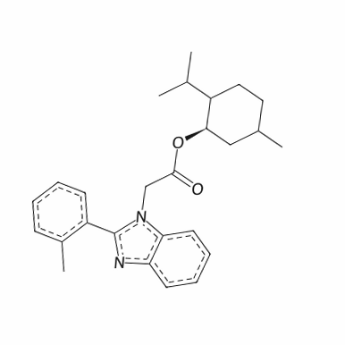 Cc1ccccc1-c1nc2ccccc2n1CC(=O)O[C@@H]1CC(C)CCC1C(C)C